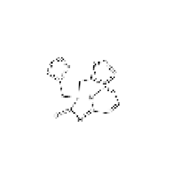 O=C1N=C2C=CC=CN2C1(Cc1cccs1)Cc1cccs1